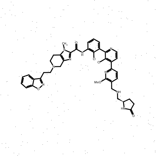 COc1nc(-c2ccnc(-c3cccc(NC(=O)c4nc5c(n4C)CCN(CCc4noc6ccccc46)C5)c3Cl)c2Cl)ccc1CNC[C@H]1CCC(=O)N1